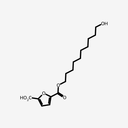 O=C(O)c1ccc(C(=O)OCCCCCCCCCCO)o1